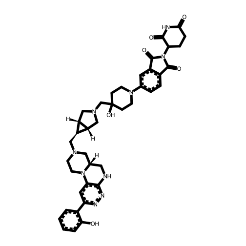 O=C1CCC(N2C(=O)c3ccc(N4CCC(O)(CN5C[C@@H]6[C@@H](CN7CCN8c9cc(-c%10ccccc%10O)nnc9NC[C@H]8C7)[C@@H]6C5)CC4)cc3C2=O)C(=O)N1